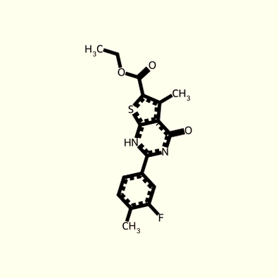 CCOC(=O)c1sc2[nH]c(-c3ccc(C)c(F)c3)nc(=O)c2c1C